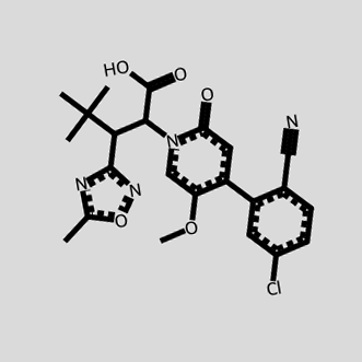 COc1cn(C(C(=O)O)C(c2noc(C)n2)C(C)(C)C)c(=O)cc1-c1cc(Cl)ccc1C#N